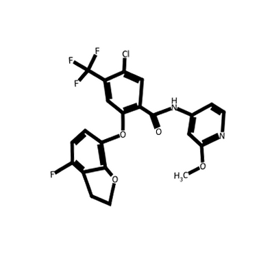 COc1cc(NC(=O)c2cc(Cl)c(C(F)(F)F)cc2Oc2ccc(F)c3c2OCC3)ccn1